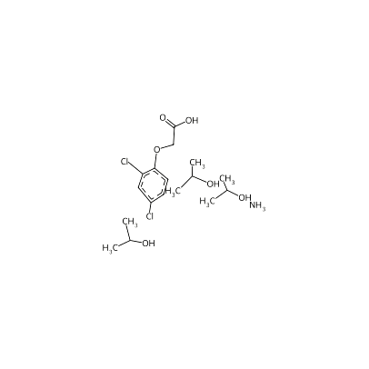 CC(C)O.CC(C)O.CC(C)O.N.O=C(O)COc1ccc(Cl)cc1Cl